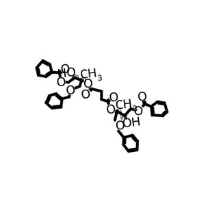 C[C@](COCc1ccccc1)(OC(=O)CCC(=O)O[C@](C)(COCc1ccccc1)[C@H](O)COC(=O)c1ccccc1)[C@H](O)COC(=O)c1ccccc1